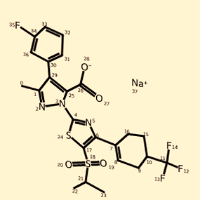 Cc1nn(-c2nc(C3=CCC(C(F)(F)F)CC3)c(S(=O)(=O)C(C)C)s2)c(C(=O)[O-])c1-c1cccc(F)c1.[Na+]